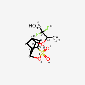 O=S1(=O)OC2C3CC(CC31)C2OC(C(F)(F)F)C(F)(F)S(=O)(=O)O